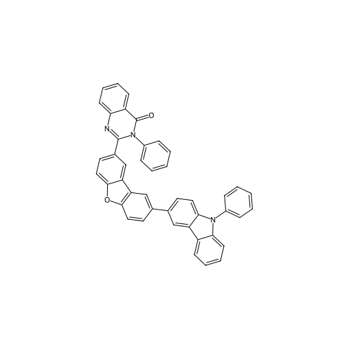 O=c1c2ccccc2nc(-c2ccc3oc4ccc(-c5ccc6c(c5)c5ccccc5n6-c5ccccc5)cc4c3c2)n1-c1ccccc1